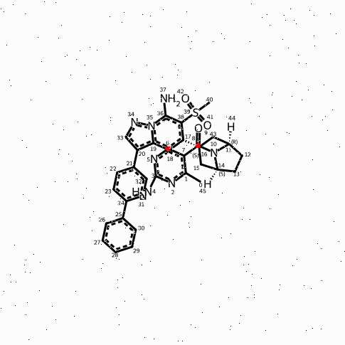 Cc1nc(N)ncc1C(=O)N1[C@@H]2CC[C@H]1C[C@H](c1nc3c(-c4ccc(-c5ccccc5)nc4)cnn3c(N)c1S(C)(=O)=O)C2